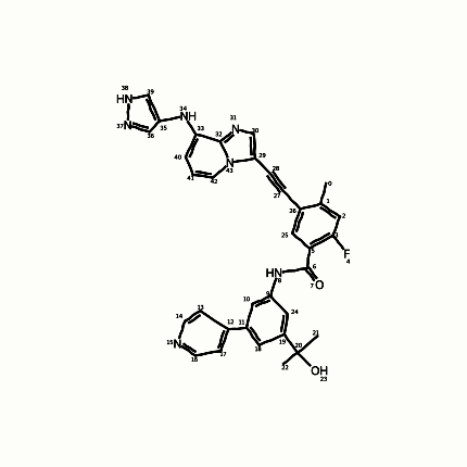 Cc1cc(F)c(C(=O)Nc2cc(-c3ccncc3)cc(C(C)(C)O)c2)cc1C#Cc1cnc2c(Nc3cn[nH]c3)cccn12